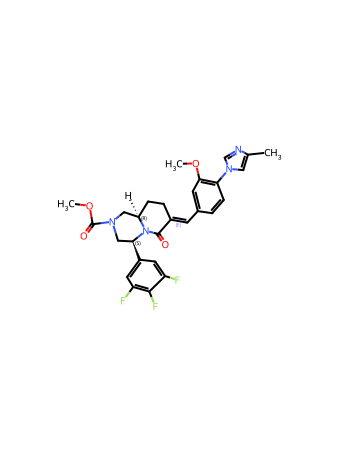 COC(=O)N1C[C@H]2CC/C(=C\c3ccc(-n4cnc(C)c4)c(OC)c3)C(=O)N2[C@@H](c2cc(F)c(F)c(F)c2)C1